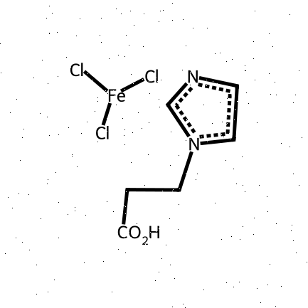 O=C(O)CCn1ccnc1.[Cl][Fe]([Cl])[Cl]